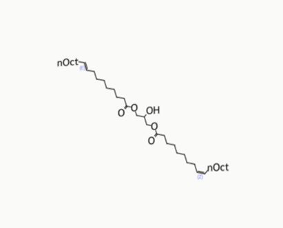 CCCCCCCC/C=C\CCCCCCCC(=O)OCC(O)COC(=O)CCCCCCC/C=C/CCCCCCCC